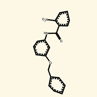 O=C(Nc1cccc(OCc2ccccc2)c1)c1ccccc1[N+](=O)[O-]